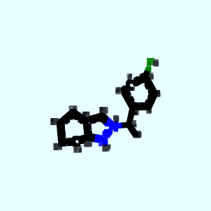 CC(c1ccc(F)cc1)n1cc2c[c]ccc2n1